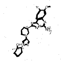 COc1cc2nc(N)n3nc([C@@H]4CCCN(c5cnn([C@H]6CCC[C@@]6(C)O)c5)C4)nc3c2cc1F